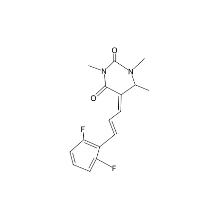 CC1/C(=C/C=C/c2c(F)cccc2F)C(=O)N(C)C(=O)N1C